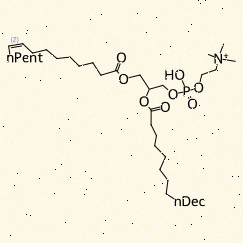 CCCCC/C=C\CCCCCCCC(=O)OCC(COP(=O)(O)OCC[N+](C)(C)C)OC(=O)CCCCCCCCCCCCCCCCC